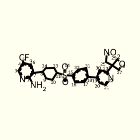 Nc1ncc(C(F)(F)F)cc1C1CCC(S(=O)(=O)c2ccc(-c3ccnc(C4(C[N+](=O)[O-])COC4)c3)cc2)CC1